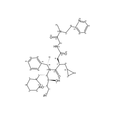 CC(C)C[C@H](O)[C@H](O)[C@H](CC1CCCCC1)N(C(=O)[C@@H](CC(=O)NCC(=O)N(C)CCc1ccccn1)CC1CC1)[C@@H](C)c1ccccc1